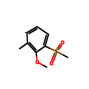 COc1c(C)[c]ccc1S(C)(=O)=O